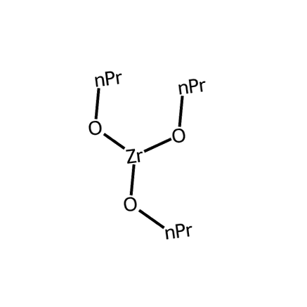 CCC[O][Zr]([O]CCC)[O]CCC